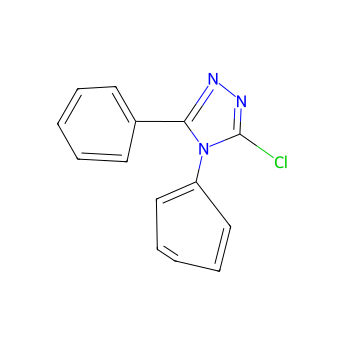 Clc1nnc(-c2ccccc2)n1-c1ccccc1